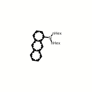 CCCCCC[Si](CCCCCC)c1cccc2cc3ccccc3cc12